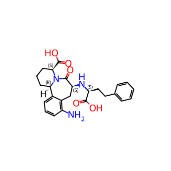 Nc1cccc2c1C[C@H](N[C@@H](CCc1ccccc1)C(=O)O)C(=O)N1[C@@H]2CCC[C@H]1C(=O)O